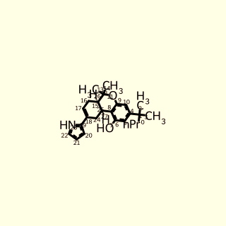 CCCC(C)(C)c1cc(O)c2c(c1)OC(C)(C)[C@@H]1CC=C(c3ccc[nH]3)C[C@@H]21